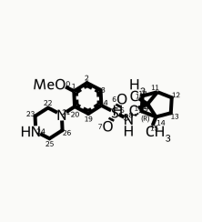 COc1ccc(S(=O)(=O)N[C@@H]2CC3CCC2(C)C3(C)C)cc1N1CCNCC1